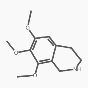 COc1cc2c(c(OC)c1OC)CNCC2